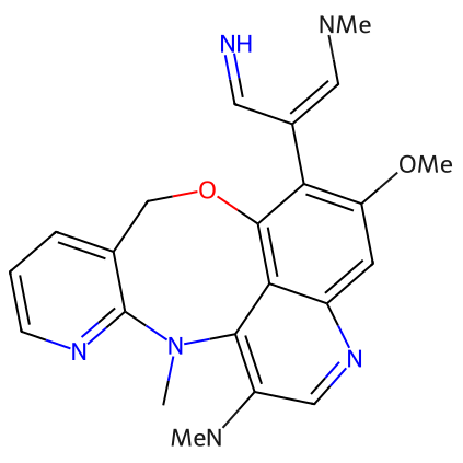 CN/C=C(\C=N)c1c(OC)cc2ncc(NC)c3c2c1OCc1cccnc1N3C